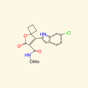 CONC(=O)C1=C(c2cc3ccc(Cl)cc3[nH]2)C2(CCC2)OC1=O